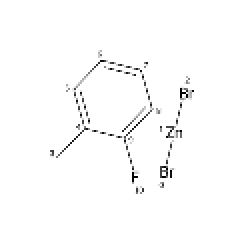 [Br][Zn][Br].[CH2]c1ccccc1F